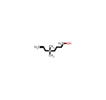 C=CC[Si](C)(C)CCC[SiH2]O